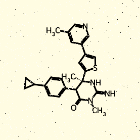 Cc1cncc(-c2csc([C@@]3(C)NC(=N)N(C)C(=O)C3c3ccc(C4CC4)cc3)c2)c1